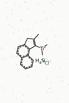 CC1=[C]([Ti+]([CH3])[CH3])c2c(ccc3ccccc23)C1.[Cl-].[SiH4]